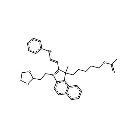 CC(=O)OCCCCCC1(C)C(/C=C/Nc2ccccc2)=[N+](CCC2OCCO2)c2ccc3ccccc3c21